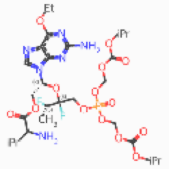 CCOc1nc(N)nc2c1ncn2[C@@H](COC(=O)C(N)C(C)C)O[C@](F)(COP(=O)(OCOC(=O)OC(C)C)OCOC(=O)OC(C)C)[C@H](C)F